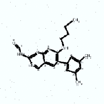 CCCCNc1nc2nc(NC=O)ncc2cc1-c1cc(C)cc(C)c1